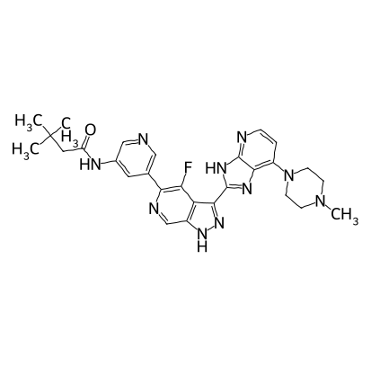 CN1CCN(c2ccnc3[nH]c(-c4n[nH]c5cnc(-c6cncc(NC(=O)CC(C)(C)C)c6)c(F)c45)nc23)CC1